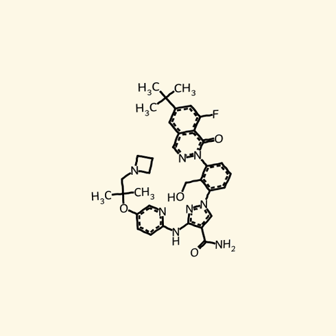 CC(C)(CN1CCC1)Oc1ccc(Nc2nn(-c3cccc(-n4ncc5cc(C(C)(C)C)cc(F)c5c4=O)c3CO)cc2C(N)=O)nc1